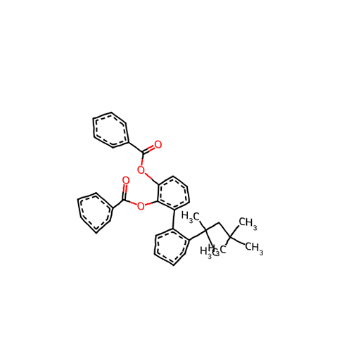 CC(C)(C)CC(C)(C)c1ccccc1-c1cccc(OC(=O)c2ccccc2)c1OC(=O)c1ccccc1